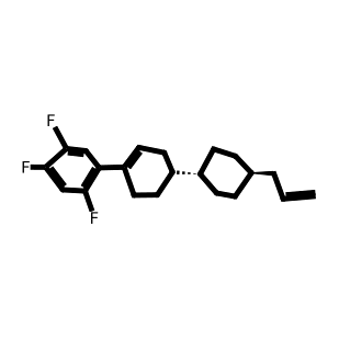 C=CC[C@H]1CC[C@H](C2CC=C(c3cc(F)c(F)cc3F)CC2)CC1